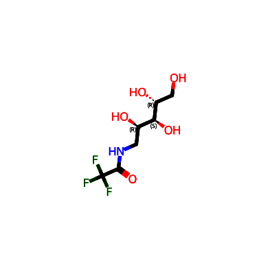 O=C(NC[C@@H](O)[C@H](O)[C@H](O)CO)C(F)(F)F